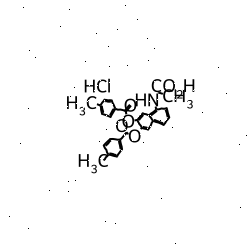 Cc1ccc(C(=O)Oc2cc3cccc(NC(C)C(=O)O)c3cc2OC(=O)c2ccc(C)cc2)cc1.Cl